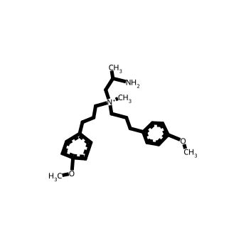 COc1ccc(CCC[N+](C)(CCCc2ccc(OC)cc2)CC(C)N)cc1